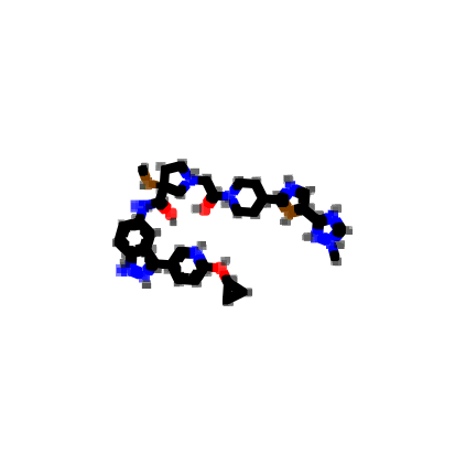 CS[C@@]1(C(=O)Nc2ccc3[nH]nc(-c4ccc(OC5CC5)nc4)c3c2)CCN(CC(=O)N2CCC(c3ncc(-c4ncn(C)n4)s3)CC2)C1